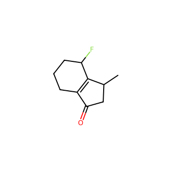 CC1CC(=O)C2=C1C(F)CCC2